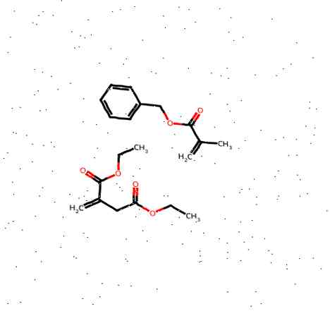 C=C(C)C(=O)OCc1ccccc1.C=C(CC(=O)OCC)C(=O)OCC